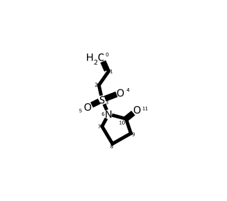 C=CCS(=O)(=O)N1CCCC1=O